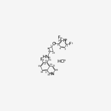 Cl.Fc1ccc(OC2CC(NCc3c(F)ccc4cnccc34)C2)c(F)n1